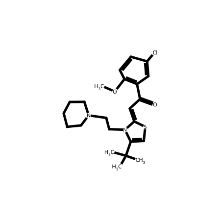 COc1ccc(Cl)cc1C(=O)C=C1SC=C(C(C)(C)C)N1CCN1CCCCC1